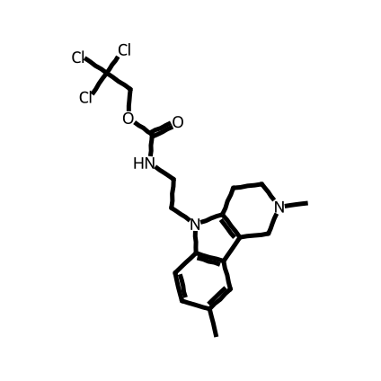 Cc1ccc2c(c1)c1c(n2CCNC(=O)OCC(Cl)(Cl)Cl)CCN(C)C1